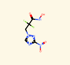 O=C(NO)C(F)(F)Cn1cnc([N+](=O)[O-])n1